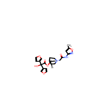 Cc1cc(NC(=O)C[N+]23CCC(CC2)[C@@H](OC(=O)C(O)(c2ccoc2)c2ccoc2)C3)no1